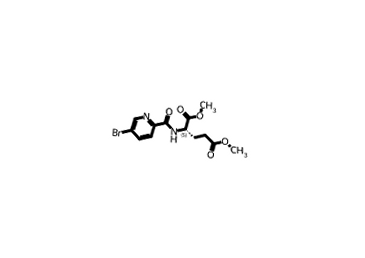 COC(=O)CC[C@H](NC(=O)c1ccc(Br)cn1)C(=O)OC